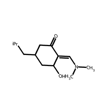 CC(C)CC1CC(=O)/C(=C/N(C)C)C(O)C1